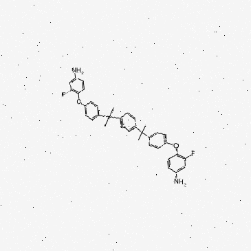 CC(C)(c1ccc(Oc2ccc(N)cc2F)cc1)c1ccc(C(C)(C)c2ccc(Oc3ccc(N)cc3F)cc2)cc1